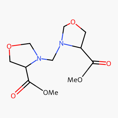 COC(=O)C1COCN1CN1COCC1C(=O)OC